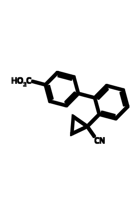 N#CC1(c2ccccc2-c2ccc(C(=O)O)cc2)CC1